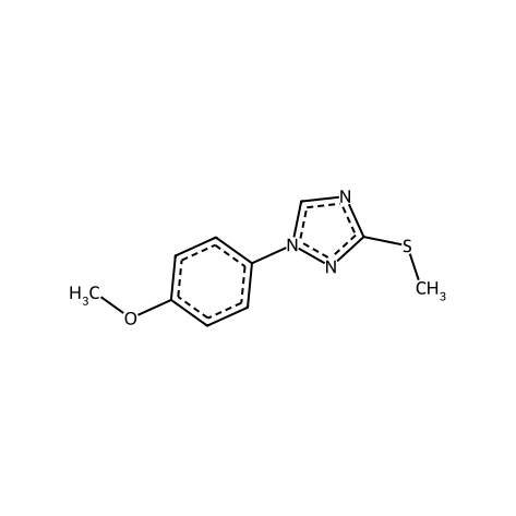 COc1ccc(-n2cnc(SC)n2)cc1